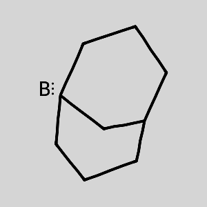 C1CC2CCCC(C1)C2.[B]